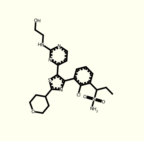 CCC(c1cccc(-c2nc(C3CCOCC3)sc2-c2ccnc(NCCO)n2)c1Cl)S(N)(=O)=O